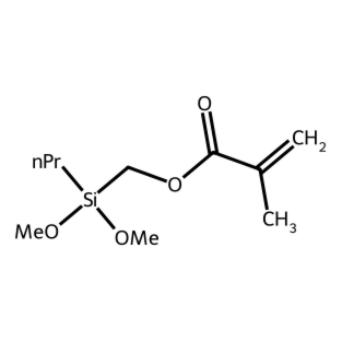 C=C(C)C(=O)OC[Si](CCC)(OC)OC